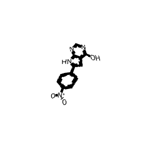 O=[N+]([O-])c1ccc(-c2cc3c(O)ncnc3[nH]2)cc1